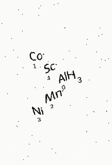 [AlH3].[Co].[Mn].[Ni].[Sc]